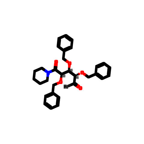 CCC(=O)[C@@H](OCc1ccccc1)[C@H](OCc1ccccc1)[C@@H](OCc1ccccc1)C(=O)N1CCCCC1